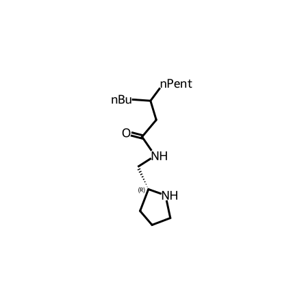 CCCCCC(CCCC)CC(=O)NC[C@H]1CCCN1